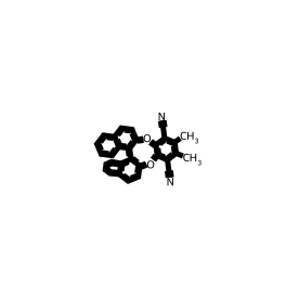 Cc1c(C)c(C#N)c2oc3ccc4ccccc4c3c3c(ccc4ccccc43)oc2c1C#N